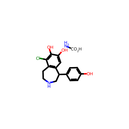 NC(=O)O.Oc1ccc(C2CNCCc3c2cc(O)c(O)c3Cl)cc1